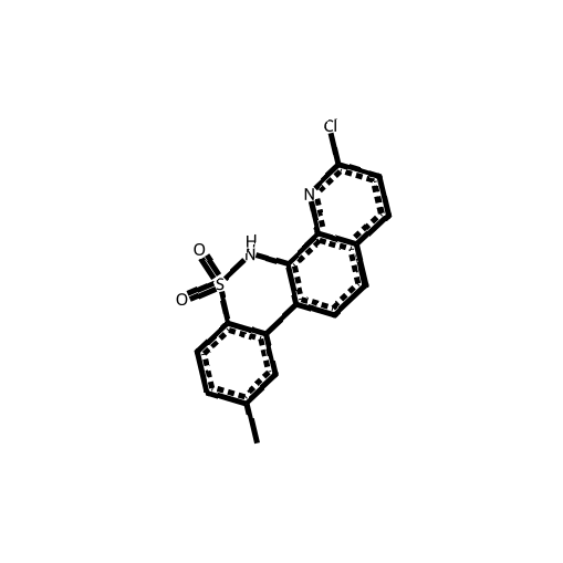 Cc1ccc2c(c1)-c1ccc3ccc(Cl)nc3c1NS2(=O)=O